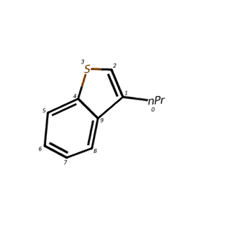 [CH2]CCc1csc2ccccc12